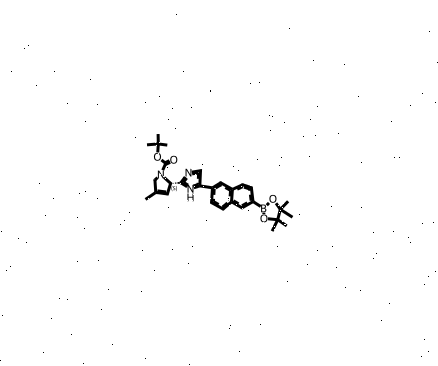 CC1=C[C@@H](c2ncc(-c3ccc4cc(B5OC(C)(C)C(C)(C)O5)ccc4c3)[nH]2)N(C(=O)OC(C)(C)C)C1